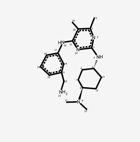 Cc1nc(N[C@H]2CC[C@H](N(C)C)CC2)nc(Nc2cccc(CN)c2)c1C